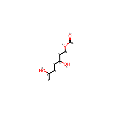 CC(O)CCC(O)CCOC=O